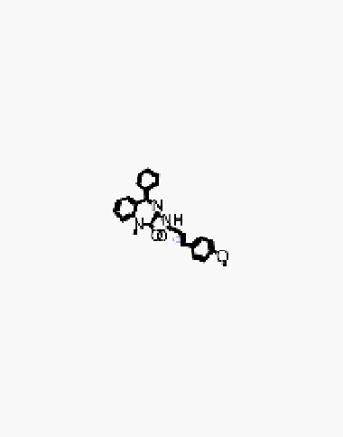 COc1ccc(/C=C/C(=O)N[C@@H]2N=C(c3ccccc3)c3ccccc3N(C)C2=O)cc1